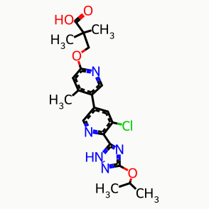 Cc1cc(OCC(C)(C)C(=O)O)ncc1-c1cnc(-c2nc(OC(C)C)n[nH]2)c(Cl)c1